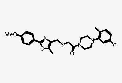 COc1ccc(-c2nc(CSCC(=O)N3CCN(c4cc(Cl)ccc4C)CC3)c(C)o2)cc1